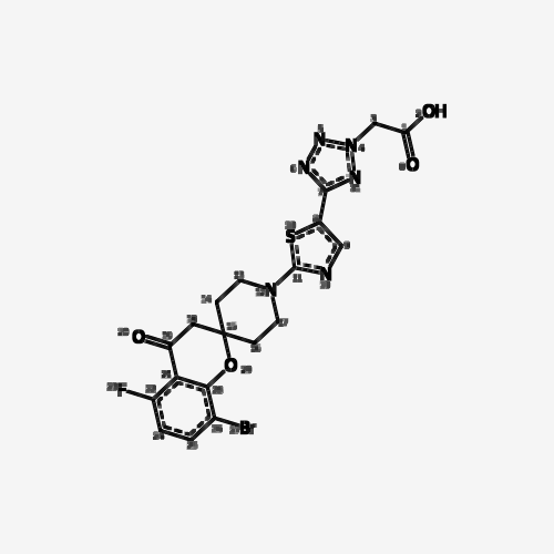 O=C(O)Cn1nnc(-c2cnc(N3CCC4(CC3)CC(=O)c3c(F)ccc(Br)c3O4)s2)n1